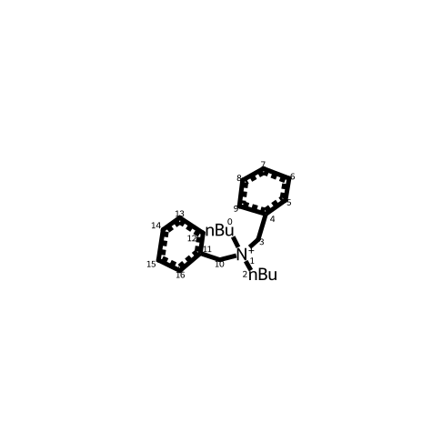 CCCC[N+](CCCC)(Cc1ccccc1)Cc1ccccc1